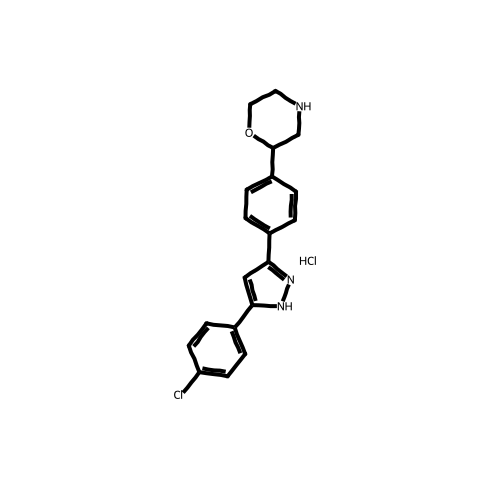 Cl.Clc1ccc(-c2cc(-c3ccc(C4CNCCO4)cc3)n[nH]2)cc1